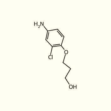 Nc1ccc(OCCCO)c(Cl)c1